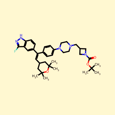 CC(C)(C)OC(=O)N1CC(CN2CCN(c3ccc(C(=CC4CC(C)(C)OC(C)(C)C4)c4ccc5[nH]nc(F)c5c4)cc3)CC2)C1